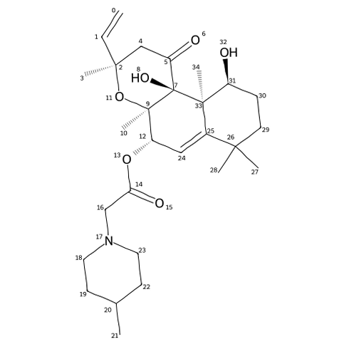 C=C[C@@]1(C)CC(=O)[C@@]2(O)[C@](C)(O1)[C@@H](OC(=O)CN1CCC(C)CC1)C=C1C(C)(C)CC[C@H](O)[C@@]12C